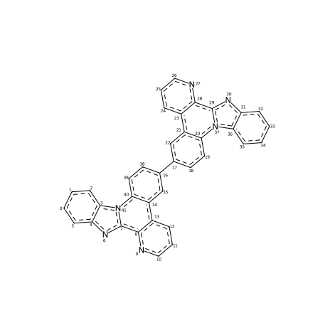 c1ccc2c(c1)nc1c3ncccc3c3cc(-c4ccc5c(c4)c4cccnc4c4nc6ccccc6n54)ccc3n21